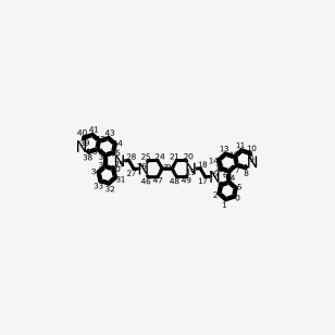 c1ccc2c(c1)c1c3cnccc3ccc1n2CCN1CCC(C2CCN(CCn3c4ccccc4c4c5cnccc5ccc43)CC2)CC1